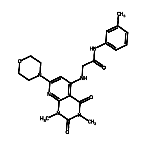 Cc1cccc(NC(=O)CNc2cc(N3CCOCC3)nc3c2c(=O)n(C)c(=O)n3C)c1